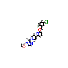 C[C@@H](c1nccn1C[C@@H]1CCO1)N1CCC(c2cccc(OCc3cc(Cl)ccc3F)n2)CC1